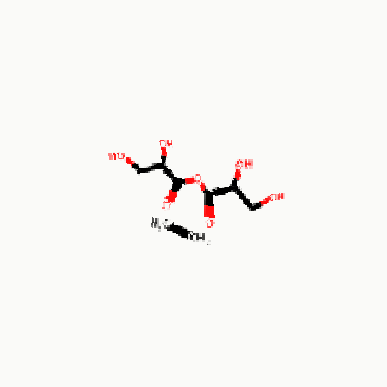 C=C.O=C(OC(=O)C(O)CO)C(O)CO